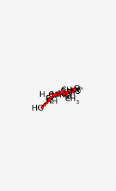 CCN(CCCC(=O)NCCCCCCO)c1ccc(N=Nc2cc(OC)c(N=Nc3ccc([N+](=O)[O-])cc3)cc2OC)cc1